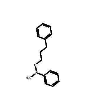 CN(OCCCc1ccccc1)c1ccccc1